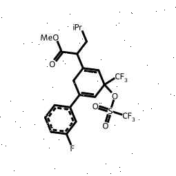 COC(=O)C(CC(C)C)C1=CC(OS(=O)(=O)C(F)(F)F)(C(F)(F)F)C=C(c2cccc(F)c2)C1